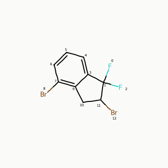 FC1(F)c2cccc(Br)c2CC1Br